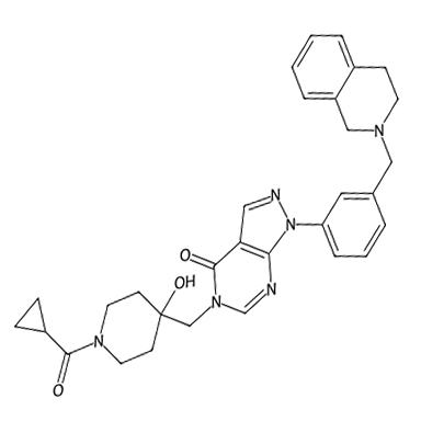 O=C(C1CC1)N1CCC(O)(Cn2cnc3c(cnn3-c3cccc(CN4CCc5ccccc5C4)c3)c2=O)CC1